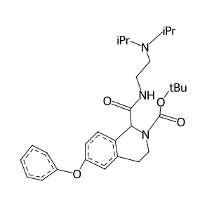 CC(C)N(CCNC(=O)C1c2ccc(Oc3ccccc3)cc2CCN1C(=O)OC(C)(C)C)C(C)C